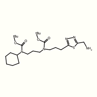 CC(C)(C)OC(=O)N(CCCc1nnc(CN)s1)CCCN(C(=O)OC(C)(C)C)C1CCCCC1